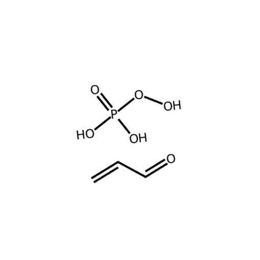 C=CC=O.O=P(O)(O)OO